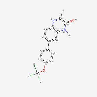 Cc1nc2ccc(-c3ccc(OC(F)(F)F)cc3)cc2n(C)c1=O